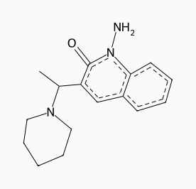 CC(c1cc2ccccc2n(N)c1=O)N1CCCCC1